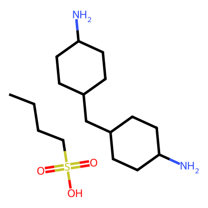 CCCCS(=O)(=O)O.NC1CCC(CC2CCC(N)CC2)CC1